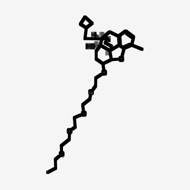 CCCOCCOCCOCCOCCOC1CC[C@@]2(O)[C@H]3Cc4ccc(C)c5c4[C@@]2(CCN3CC2CCC2)C1O5